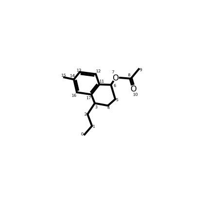 CCCC1CCC(OC(C)=O)c2ccc(C)cc21